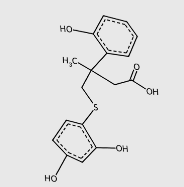 CC(CSc1ccc(O)cc1O)(CC(=O)O)c1ccccc1O